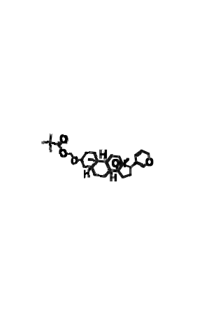 CC(C)(C)C(=O)OCO[C@H]1CC[C@@]2(C)[C@H](CC[C@@H]3[C@@H]2CC[C@]2(C)[C@@H](C4=COCC=C4)CC[C@]32O)C1